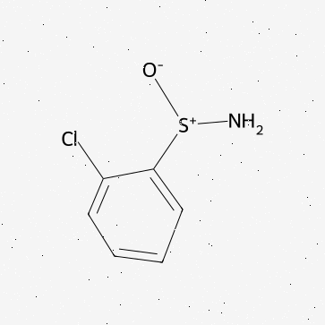 N[S+]([O-])c1ccccc1Cl